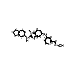 Cn1c(Nc2ccc3c(c2)CCC3)nc2cc(Oc3ccnc(/C=N/O)c3)ccc21